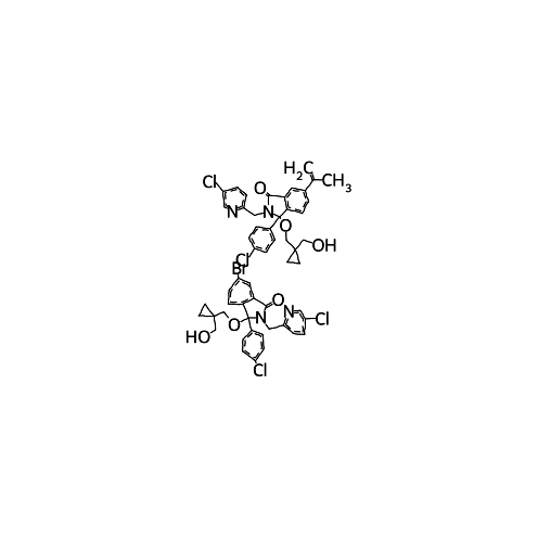 C=C(C)c1ccc2c(c1)C(=O)N(Cc1ccc(Cl)cn1)C2(OCC1(CO)CC1)c1ccc(Cl)cc1.O=C1c2cc(Br)ccc2C(OCC2(CO)CC2)(c2ccc(Cl)cc2)N1Cc1ccc(Cl)cn1